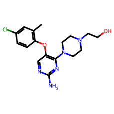 Cc1cc(Cl)ccc1Oc1cnc(N)nc1N1CCN(CCO)CC1